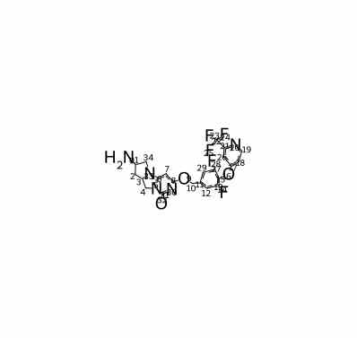 NC1CC2Cn3c(cc(OCc4cc(F)c(Oc5ccnc(C(F)(F)F)c5)c(F)c4)nc3=O)N2C1